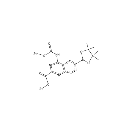 CC(C)(C)OC(=O)Nc1nc(C(=O)OC(C)(C)C)nc2ccc(B3OC(C)(C)C(C)(C)O3)cc12